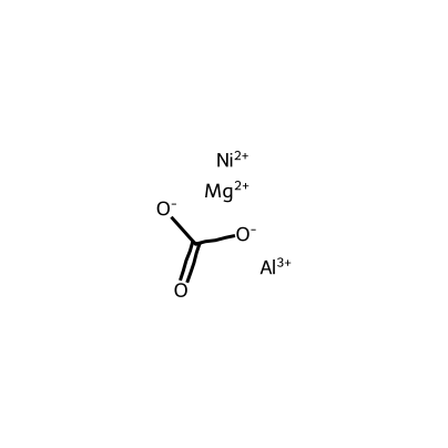 O=C([O-])[O-].[Al+3].[Mg+2].[Ni+2]